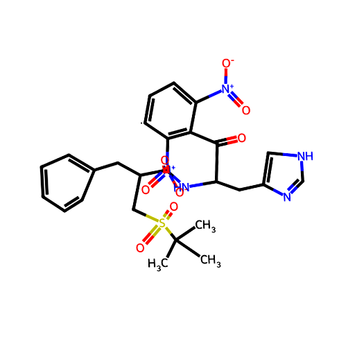 CC(C)(C)S(=O)(=O)CC(Cc1ccccc1)C(=O)NC(Cc1c[nH]cn1)C(=O)c1c([N+](=O)[O-])[c]ccc1[N+](=O)[O-]